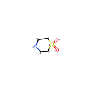 O=S1(=O)[CH]C[N]CC1